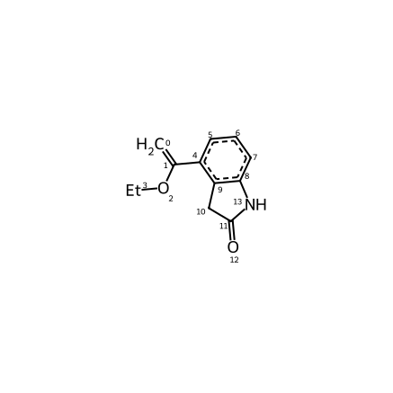 C=C(OCC)c1cccc2c1CC(=O)N2